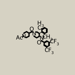 CC(=O)N1CCC(C(=O)N2CC[C@@H](N(C)C(=O)c3cc(C(F)(F)F)cc(C(F)(F)F)c3)[C@H](c3ccccc3C)C2)CC1